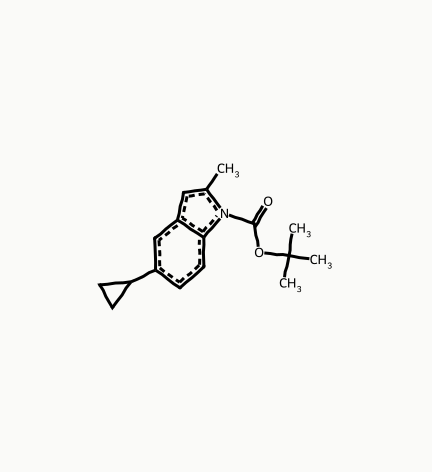 Cc1cc2cc(C3CC3)ccc2n1C(=O)OC(C)(C)C